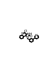 O=c1[nH]c2c(Cl)nc3ccccc3c2n1Cc1cccc(-c2cccnc2)c1